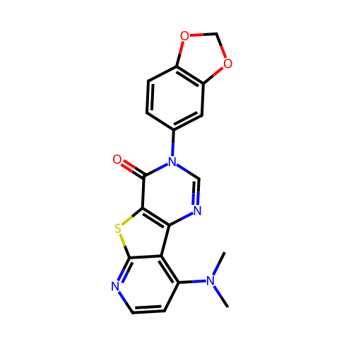 CN(C)c1ccnc2sc3c(=O)n(-c4ccc5c(c4)OCO5)cnc3c12